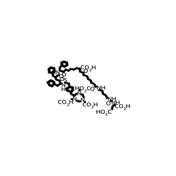 O=C(O)CC[C@H](NC(=O)NCCCCCNC(=O)CCCCCCC(=O)CC(CCCCCC(=O)C(Cc1ccccc1)NC(=O)C(CC(=O)C(Cc1ccccc1)NC(=S)Cc1ccc(CC2CN(CC(=O)O)CCN(CC(=O)O)CCN2CC(=O)O)cc1)Cc1ccccc1)C(=O)O)C(=O)O